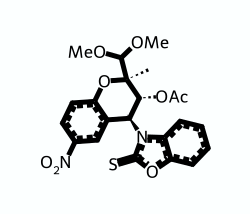 COC(OC)[C@]1(C)Oc2ccc([N+](=O)[O-])cc2[C@H](n2c(=S)oc3ccccc32)[C@H]1OC(C)=O